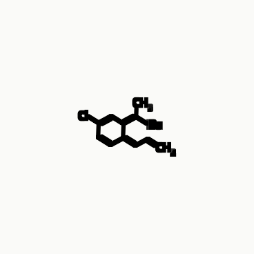 C=C/C=c1/ccc(Cl)c/c1=C(\C)C(C)CC